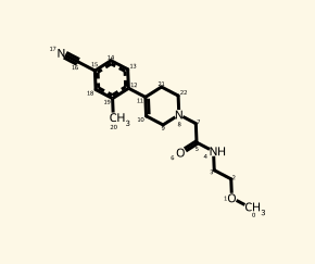 COCCNC(=O)CN1CC=C(c2ccc(C#N)cc2C)CC1